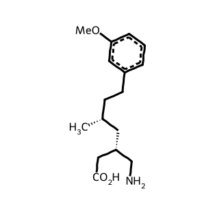 COc1cccc(CC[C@@H](C)C[C@H](CN)CC(=O)O)c1